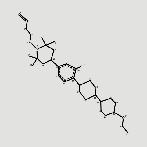 C=CCCON1C(C)(C)CC(c2ccc(C3CCC(C4CCC(OCC)CC4)CC3)c(F)c2)CC1(C)C